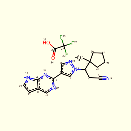 CC1(C(CC#N)n2cc(-c3ncc4cc[nH]c4n3)cn2)CCCC1.O=C(O)C(F)(F)F